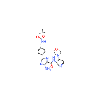 CC(C)(C)OC(=O)NCc1ccc(-c2cnc(N)c(C(=O)Nc3cnccc3N3CCOCC3)n2)cc1